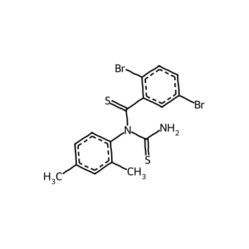 Cc1ccc(N(C(N)=S)C(=S)c2cc(Br)ccc2Br)c(C)c1